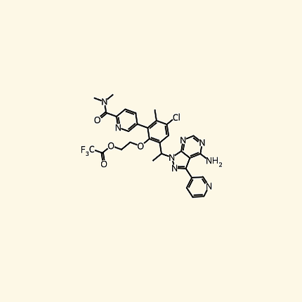 Cc1c(Cl)cc(C(C)n2nc(-c3cccnc3)c3c(N)ncnc32)c(OCCOC(=O)C(F)(F)F)c1-c1ccc(C(=O)N(C)C)nc1